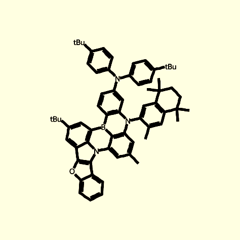 Cc1cc2c3c(c1)-n1c4c(cc(C(C)(C)C)cc4c4oc5ccccc5c41)B3c1ccc(N(c3ccc(C(C)(C)C)cc3)c3ccc(C(C)(C)C)cc3)cc1N2c1cc2c(cc1C)C(C)(C)CCC2(C)C